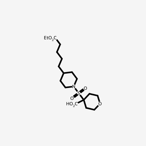 CCOC(=O)CCCCC1CCN(S(=O)(=O)C2(C(=O)O)CCOCC2)CC1